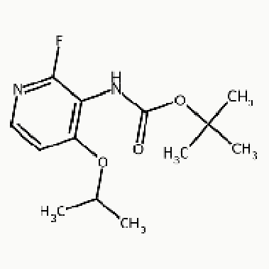 CC(C)Oc1ccnc(F)c1NC(=O)OC(C)(C)C